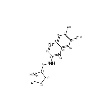 Fc1cc2ncc(NCC3CCCN3)nc2cc1F